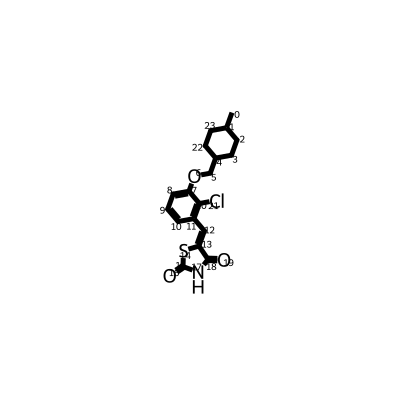 CC1CCC(COc2cccc(/C=C3\SC(=O)NC3=O)c2Cl)CC1